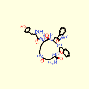 NC(=O)C1CCC(=O)NCCCCC(NC(=O)C(N)Cc2ccc(O)cc2)C(=O)NC(Cc2c[nH]c3ccccc23)C(=O)NC(Cc2ccccc2)C(=O)N1